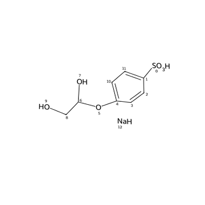 O=S(=O)(O)c1ccc(OC(O)CO)cc1.[NaH]